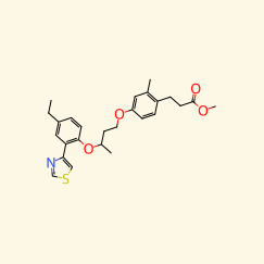 CCc1ccc(OC(C)CCOc2ccc(CCC(=O)OC)c(C)c2)c(-c2cscn2)c1